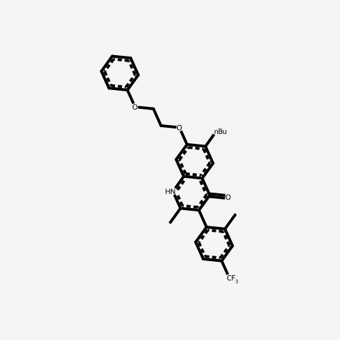 CCCCc1cc2c(=O)c(-c3ccc(C(F)(F)F)cc3C)c(C)[nH]c2cc1OCCOc1ccccc1